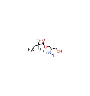 CCC(C)(C)C(=O)OCC(CO)NI